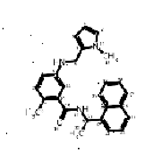 Cc1ccc(NCc2cccn2C)cc1C(=O)N[C@H](C)c1cccc2ccccc12